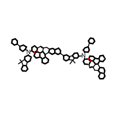 CC1(C)c2ccccc2-c2ccc(N(c3ccc(/C=C4/Cc5cc6ccc(-c7ccc8c(c7)-c7ccc(N(c9ccc(/C=C%10/Cc%11c(ccc%12ccccc%11%12)-c%11c%10c%10ccccc%10c%10ccccc%11%10)cc9)c9ccc(-c%10ccccc%10)cc9)cc7C8(C)C)cc6cc5-c5c4c4ccccc4c4ccccc54)cc3)c3ccc(-c4ccccc4)cc3)cc21